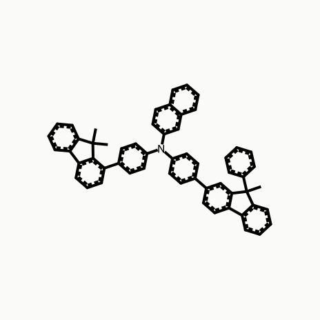 CC1(C)c2ccccc2-c2cccc(-c3ccc(N(c4ccc(-c5ccc6c(c5)C(C)(c5ccccc5)c5ccccc5-6)cc4)c4ccc5ccccc5c4)cc3)c21